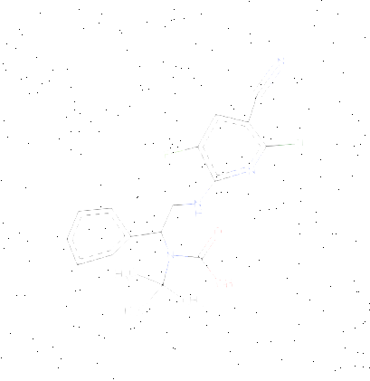 CC(C)(C)N(C(=O)O)C(CNc1nc(Cl)c(C#N)cc1F)c1ccccc1